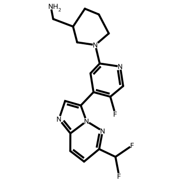 NCC1CCCN(c2cc(-c3cnc4ccc(C(F)F)nn34)c(F)cn2)C1